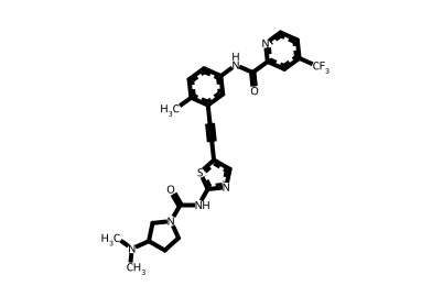 Cc1ccc(NC(=O)c2cc(C(F)(F)F)ccn2)cc1C#Cc1cnc(NC(=O)N2CCC(N(C)C)C2)s1